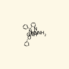 NNC1=Nc2ccccc2C(c2ccccc2)=NC1NC(=O)OCc1ccccc1